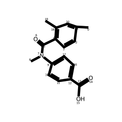 Cc1ccc(C(=O)N(C)c2ccc(C(=O)O)cc2)c(C)c1